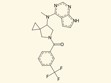 CN(c1ncnc2[nH]ccc12)C1CN(C(=O)c2cccc(C(F)(F)F)c2)CC12CC2